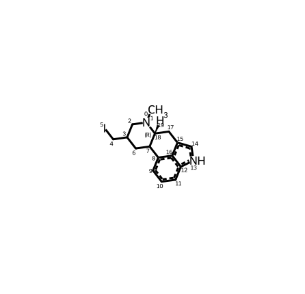 CN1CC(CI)CC2c3cccc4[nH]cc(c34)C[C@H]21